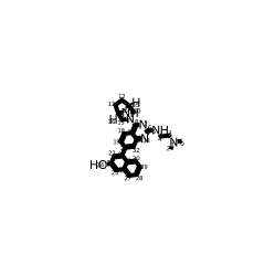 CN(C)CCNc1nc(N2C[C@H]3CC[C@@H](C2)N3)c2ccc(-c3cc(O)cc4ccccc34)cc2n1